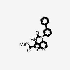 CNC(=O)c1sc2nccc3c2c1NC(=O)N3c1cccc(-c2ccccc2)c1